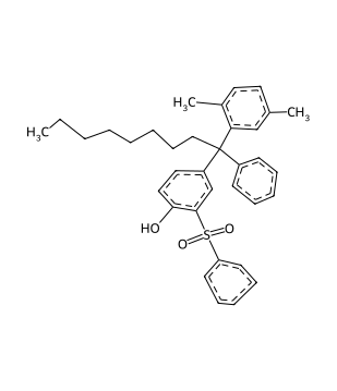 CCCCCCCCC(c1ccccc1)(c1ccc(O)c(S(=O)(=O)c2ccccc2)c1)c1cc(C)ccc1C